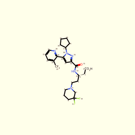 O=C(O)C[C@H](CCN1CCCC(F)(F)C1)NC(=O)c1cc(-c2ncccc2C(F)(F)F)n(C2CCCC2)n1